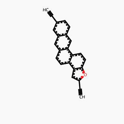 C#Cc1ccc2cc3c(ccc4c5cc(C#C)oc5ccc34)cc2c1